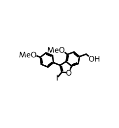 COc1ccc(-c2c(I)oc3cc(CO)cc(OC)c23)cc1